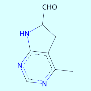 Cc1ncnc2c1CC(C=O)N2